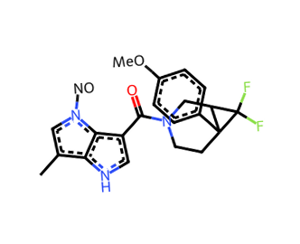 COc1ccc(C23CCN(C(=O)c4c[nH]c5c(C)cn(N=O)c45)CC2C3(F)F)cc1